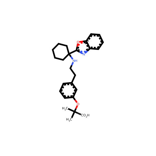 CC(C)(Oc1cccc(CCNC2(c3nc4ccccc4o3)CCCCC2)c1)C(=O)O